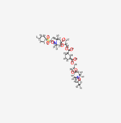 Cc1ccc(S(=O)(=O)C(C)ON2C(C)(C)CC3(CC2(C)C)OCC(COC(=O)c2cccc(C(=O)OCC4COC5(CC(C)(C)N(OC(C)C(C)(C)C)C(C)(C)C5)O4)c2)O3)cc1